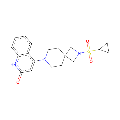 O=c1cc(N2CCC3(CC2)CN(S(=O)(=O)C2CC2)C3)c2ccccc2[nH]1